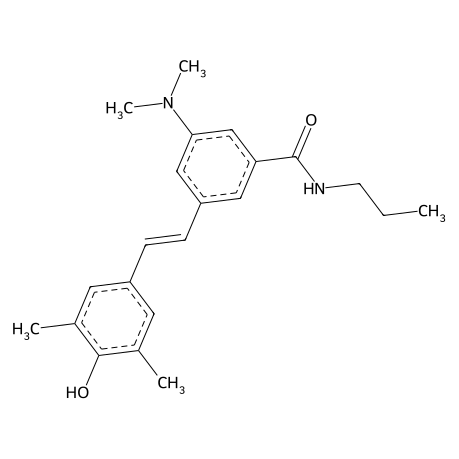 CCCNC(=O)c1cc(C=Cc2cc(C)c(O)c(C)c2)cc(N(C)C)c1